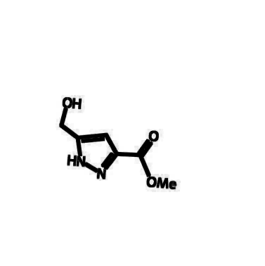 COC(=O)c1cc(CO)[nH]n1